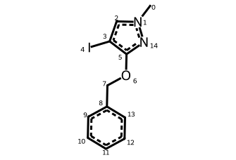 Cn1cc(I)c(OCc2ccccc2)n1